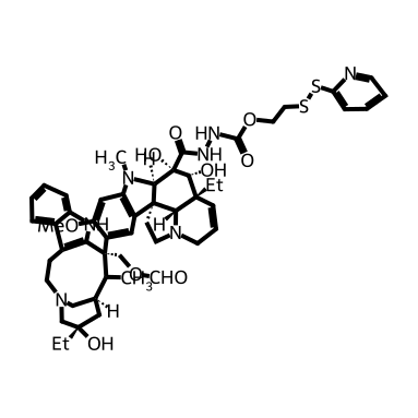 CC[C@]1(O)C[C@H]2CN(CCc3c([nH]c4ccccc34)[C@@](COC=O)(c3cc4c(cc3OC)N(C)[C@H]3[C@@](O)(C(=O)NNC(=O)OCCSSc5ccccn5)[C@H](O)[C@]5(CC)C=CCN6CC[C@]43[C@@H]65)C2C)C1